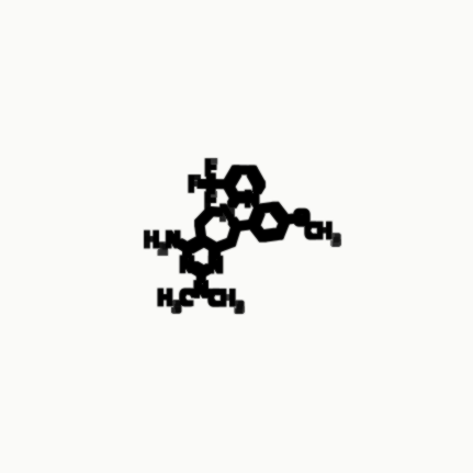 COc1ccc(C2Cc3nc(N(C)C)nc(N)c3CCN2c2ncccc2C(F)(F)F)cc1